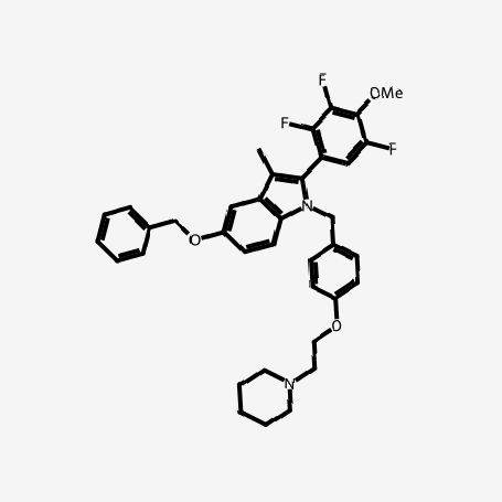 COc1c(F)cc(-c2c(C)c3cc(OCc4ccccc4)ccc3n2Cc2ccc(OCCN3CCCCC3)cc2)c(F)c1F